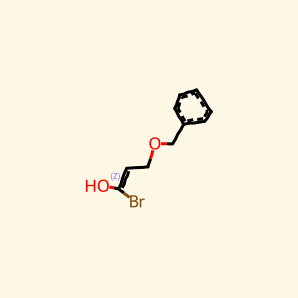 O/C(Br)=C/COCc1ccccc1